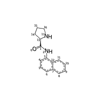 O=C(Nc1cccc2ccccc12)[C@H]1CCCN1